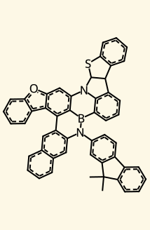 CC1(C)c2ccccc2-c2ccc(N3B4c5cccc6c5N(c5cc7oc8ccccc8c7c(c54)-c4cc5ccccc5cc43)C3Sc4ccccc4C63)cc21